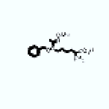 CO/N=C(\C)N(CCCC[C@H](N)C(=O)O)OCc1ccccc1